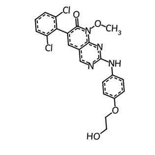 COn1c(=O)c(-c2c(Cl)cccc2Cl)cc2cnc(Nc3ccc(OCCO)cc3)nc21